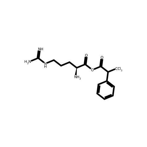 N=C(N)NCCC[C@H](N)C(=O)OC(=O)C(c1ccccc1)C(Cl)(Cl)Cl